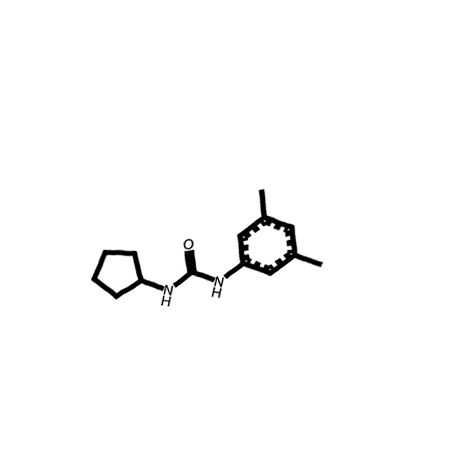 Cc1cc(C)cc(NC(=O)NC2CCCC2)c1